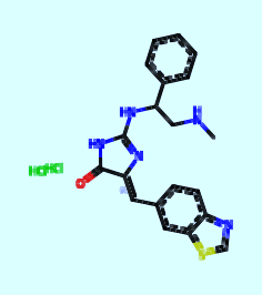 CNCC(NC1=N/C(=C\c2ccc3ncsc3c2)C(=O)N1)c1ccccc1.Cl.Cl